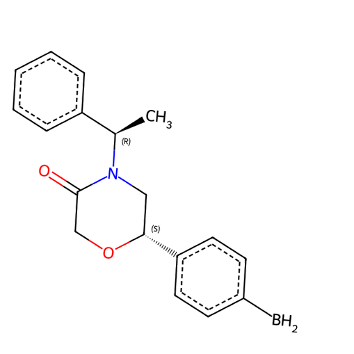 Bc1ccc([C@H]2CN([C@H](C)c3ccccc3)C(=O)CO2)cc1